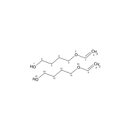 C=COCCCCO.C=COCCCCO